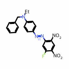 CCN(Cc1ccccc1)c1ccc(/N=N/c2cc(F)c([N+](=O)[O-])cc2[N+](=O)[O-])cc1